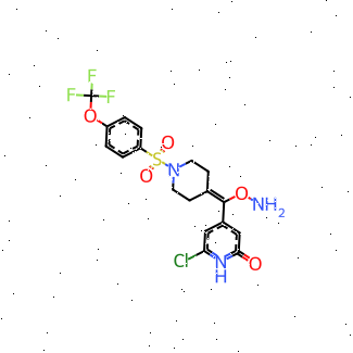 NOC(=C1CCN(S(=O)(=O)c2ccc(OC(F)(F)F)cc2)CC1)c1cc(Cl)[nH]c(=O)c1